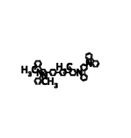 Cc1cc(-n2c3ccccc3c3cc(-n4c5ccccc5c5ccccc54)ccc32)ccc1-c1ccc(-c2ccc(-c3cc(-c4ccccc4C)nc(-c4ccccc4C)n3)cc2)cc1